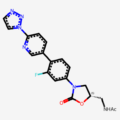 CC(=O)NC[C@H]1CN(c2ccc(-c3ccc(-n4ccnn4)nc3)c(F)c2)C(=O)O1